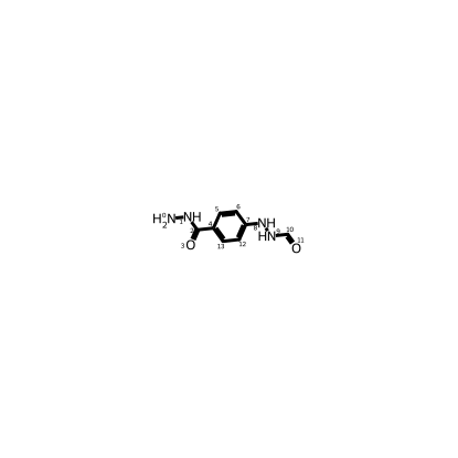 NNC(=O)c1ccc(NNC=O)cc1